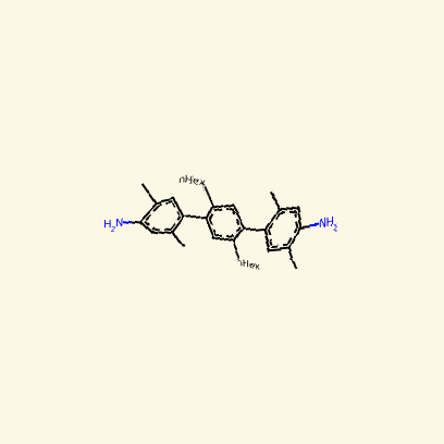 CCCCCCc1cc(-c2cc(C)c(N)cc2C)c(CCCCCC)cc1-c1cc(C)c(N)cc1C